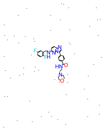 O=C(NCCN1CCOCC1)c1ccc(-c2cnc3ccc(NCc4cc(F)ccc4F)nn23)cc1